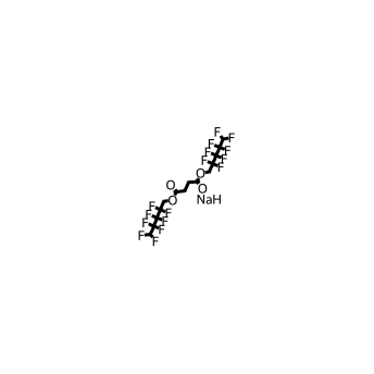 O=C(CCC(=O)OCC(F)(F)C(F)(F)C(F)(F)C(F)F)OCC(F)(F)C(F)(F)C(F)(F)C(F)F.[NaH]